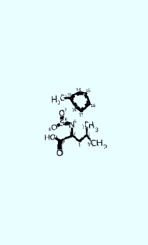 CC(C)CC(N=S(=O)=O)C(=O)O.Cc1ccccc1